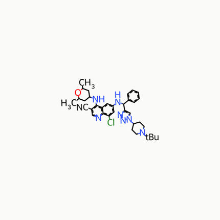 CC1CC(Nc2c(C#N)cnc3c(Cl)cc(N[C@@H](c4ccccc4)c4cn(C5CCN(C(C)(C)C)CC5)nn4)cc23)CC(C)O1